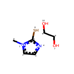 Cn1ccnc1S.OCCO